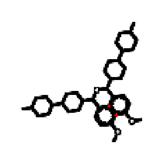 COc1ccc(C(OC(c2ccc(OC)cc2)C2CCC(C3CCC(C)CC3)CC2)C2CCC(C3CCC(C)CC3)CC2)cc1